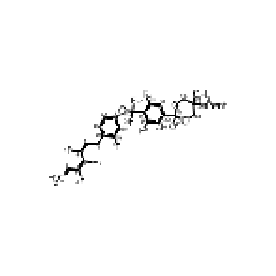 C=C/C(F)=C(F)\C(F)=C/Cc1ccc(OC(F)(F)c2c(F)cc(C3(O)OCC(C)(CCCCC)CO3)cc2F)cc1F